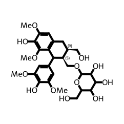 COc1cc(C2c3c(cc(OC)c(O)c3OC)C[C@@H](CO)[C@H]2COC2OC(CO)C(O)C(O)C2O)cc(OC)c1O